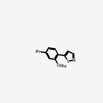 COc1cc(C(C)C)ccc1-c1ccns1